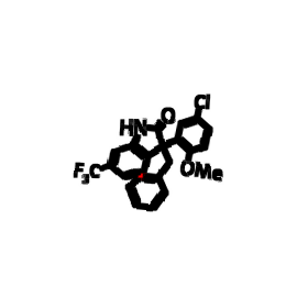 COc1ccc(Cl)cc1C1(Cc2ccccc2)C(=O)Nc2cc(C(F)(F)F)ccc21